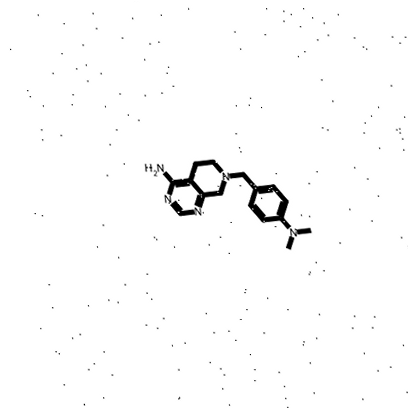 CN(C)c1ccc(CN2CCc3c(N)ncnc3C2)cc1